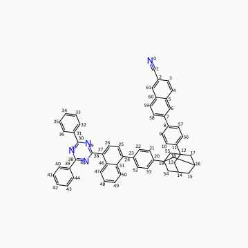 N#Cc1ccc2cc(-c3ccc(C45CC6CC(C4)CC(c4ccc(-c7ccc(-c8nc(-c9ccccc9)nc(-c9ccccc9)n8)c8ccccc78)cc4)(C6)C5)cc3)ccc2c1